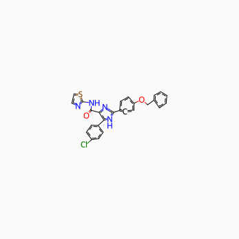 O=C(Nc1nccs1)c1nc(-c2ccc(OCc3ccccc3)cc2)[nH]c1-c1ccc(Cl)cc1